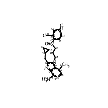 Cc1cnc(N)c2nc(CC3CC3)n(CCC[S+]([O-])c3ccc(Cl)cc3Cl)c12